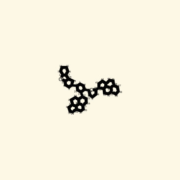 c1cc(-c2ccc(-c3ccc4oc5ccccc5c4c3)cc2-c2ccc3ccc4cccc5ccc2c3c45)cc(-c2ccc3ccc4cccc5ccc2c3c45)c1